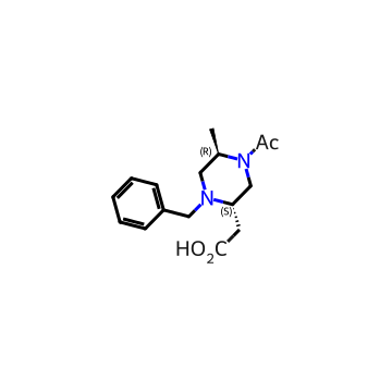 CC(=O)N1C[C@H](CC(=O)O)N(Cc2ccccc2)C[C@H]1C